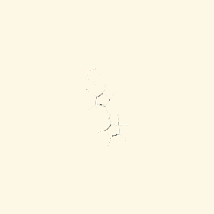 C1CCOC1.CC1=C(C)C(C)(C)[C]([Ca][C]2=C(C)C(C)=C(C)C2(C)C)=C1C